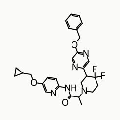 CC(C(=O)Nc1ccc(OCC2CC2)cn1)N1CCC(F)(F)C(c2cnc(OCc3ccccc3)cn2)C1